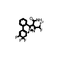 Cn1nc(C(F)F)c(C(N)=O)c1-c1ccccc1C1=CCC(F)(F)C(F)=C1